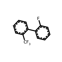 Fc1ccccc1-c1cc[c]cc1C(F)(F)F